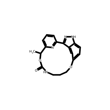 CC1OC(=O)NCCCOc2ccc3[nH]nc(c3c2)-c2cccc1n2